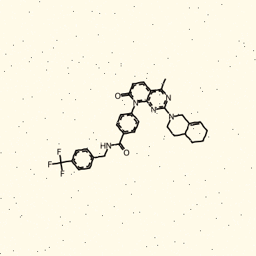 Cc1nc(N2CCC3CCCC=C3C2)nc2c1ccc(=O)n2-c1ccc(C(=O)NCc2ccc(C(F)(F)F)cc2)cc1